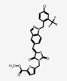 COC(=O)c1ccc(CN2C(=O)S/C(=C\c3ccc4c(cnn4Cc4ccc(Cl)cc4C(F)(F)F)c3)C2=O)o1